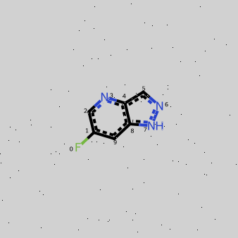 Fc1cnc2cn[nH]c2c1